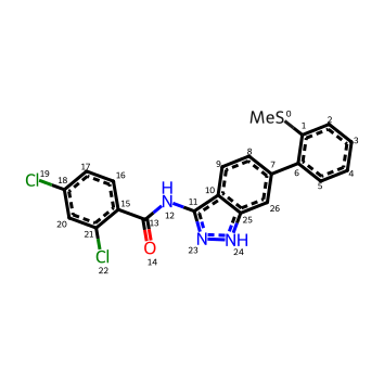 CSc1ccccc1-c1ccc2c(NC(=O)c3ccc(Cl)cc3Cl)n[nH]c2c1